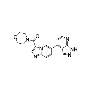 O=C(c1cnc2ccc(-c3ccnc4[nH]ncc34)cn12)N1CCOCC1